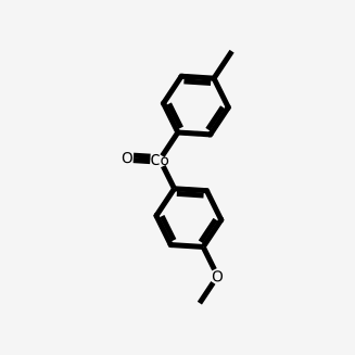 COc1cc[c]([Co](=[O])[c]2ccc(C)cc2)cc1